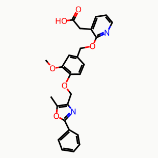 COc1cc(COc2ncccc2CC(=O)O)ccc1OCc1nc(-c2ccccc2)oc1C